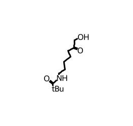 CC(C)(C)C(=O)NCCCCCC(=O)CO